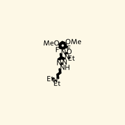 CCN(CC)CCCCNc1ncc2c(n1)N(CC)C(=O)N(c1c(F)c(OC)cc(OC)c1F)C2